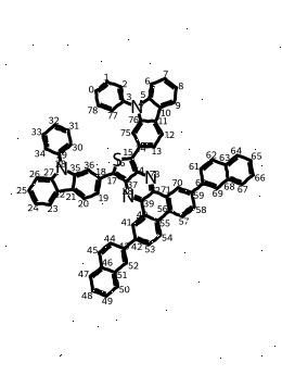 c1ccc(-n2c3ccccc3c3ccc(-c4sc(-c5ccc6c7ccccc7n(-c7ccccc7)c6c5)c5nc6c7cc(-c8ccc9ccccc9c8)ccc7c7ccc(-c8ccc9ccccc9c8)cc7c6nc45)cc32)cc1